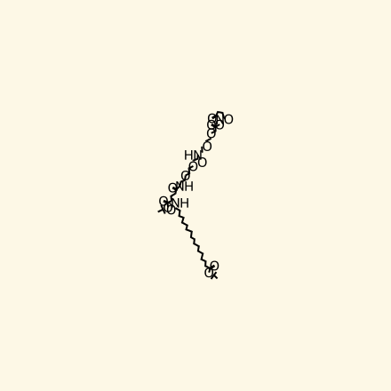 CC(C)(C)OC(=O)CCCCCCCCCCCCCCCCC(=O)NC(CCC(=O)NCCOCCOCC(=O)NCCOCCOCC(=O)ON1C(=O)CCC1=O)C(=O)OC(C)(C)C